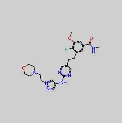 CNC(=O)c1cc(CCc2cnc(Nc3cnn(CCN4CCOCC4)c3)nc2)c(F)c(OC)c1